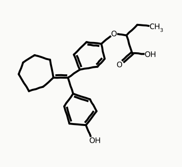 CCC(Oc1ccc(C(=C2CCCCCC2)c2ccc(O)cc2)cc1)C(=O)O